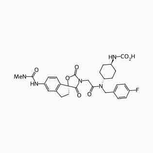 CNC(=O)Nc1ccc2c(c1)CC[C@@]21OC(=O)N(CC(=O)N(Cc2ccc(F)cc2)[C@H]2CC[C@H](NC(=O)O)CC2)C1=O